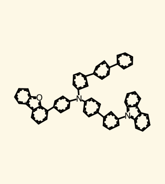 c1ccc(-c2ccc(-c3cccc(N(c4ccc(-c5cccc(-n6c7ccccc7c7ccccc76)c5)cc4)c4ccc(-c5cccc6c5oc5ccccc56)cc4)c3)cc2)cc1